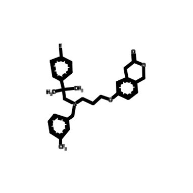 CC(C)(CN(CCCOc1ccc2c(c1)CC(=O)OC2)Cc1cccc(C(F)(F)F)c1)c1ccc(F)cc1